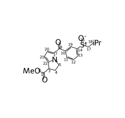 COC(=O)C1CCn2c(C(=O)c3cccc([S+]([O-])CC(C)C)c3)ccc21